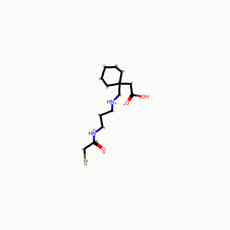 O=C(O)CC1(CNCCCNC(=O)CBr)CCCCC1